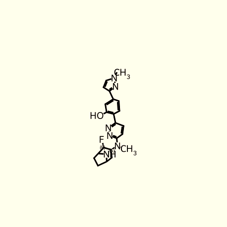 CN(c1ccc(-c2ccc(-c3ccn(C)n3)cc2O)nn1)[C@H]1CC2CCC(N2)[C@H]1F